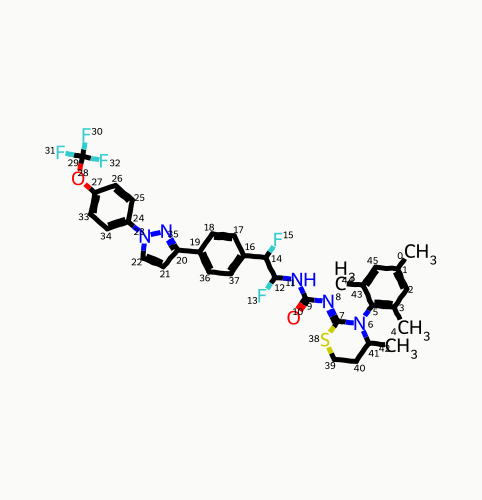 Cc1cc(C)c(N2/C(=N/C(=O)NC(F)C(F)c3ccc(-c4ccn(-c5ccc(OC(F)(F)F)cc5)n4)cc3)SCCC2C)c(C)c1